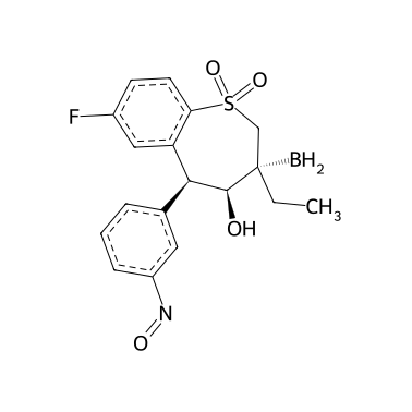 B[C@@]1(CC)CS(=O)(=O)c2ccc(F)cc2[C@H](c2cccc(N=O)c2)[C@@H]1O